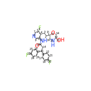 C[C@@]1(CCc2c(F)cncc2NC(=O)CC(c2ccc(F)cc2)c2ccc(F)cc2)CN[C@H](O)CO1